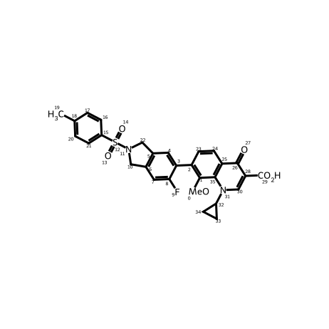 COc1c(-c2cc3c(cc2F)CN(S(=O)(=O)c2ccc(C)cc2)C3)ccc2c(=O)c(C(=O)O)cn(C3CC3)c12